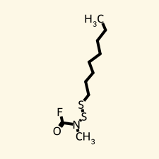 CCCCCCCCSSN(C)C(=O)F